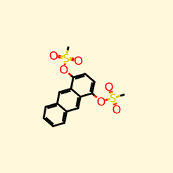 CS(=O)(=O)Oc1ccc(OS(C)(=O)=O)c2cc3ccccc3cc12